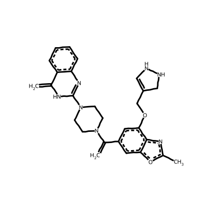 C=C1NC(N2CCN(C(=C)c3cc(OCC4=CNNC4)c4nc(C)oc4c3)CC2)=Nc2ccccc21